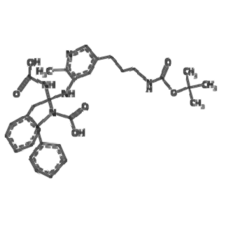 Cc1ncc(CCCNC(=O)OC(C)(C)C)cc1NC(Cc1ccccc1)(NC(=O)O)N(Cc1ccccc1)C(=O)O